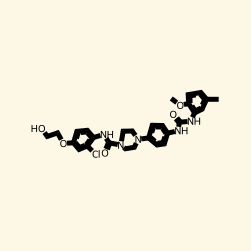 COc1ccc(C)cc1NC(=O)Nc1ccc(N2CCN(C(=O)Nc3ccc(OCCO)cc3Cl)CC2)cc1